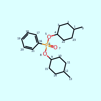 CC1CCC(OP(=O)(OC2CCC(C)CC2)c2ccccc2)CC1